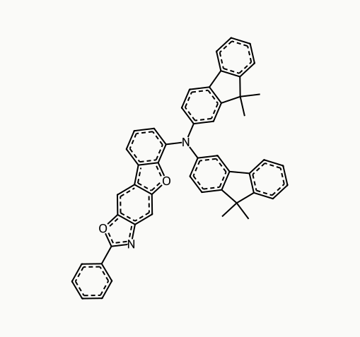 CC1(C)c2ccccc2-c2cc(N(c3ccc4c(c3)C(C)(C)c3ccccc3-4)c3cccc4c3oc3cc5nc(-c6ccccc6)oc5cc34)ccc21